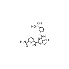 NC(=O)c1cccc2c(-c3nc4c(c(NCc5cccc(B(O)O)c5)n3)NCC4)ncn12